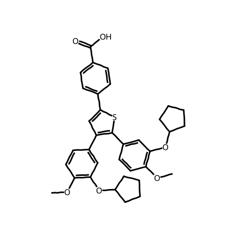 COc1ccc(-c2cc(-c3ccc(C(=O)O)cc3)sc2-c2ccc(OC)c(OC3CCCC3)c2)cc1OC1CCCC1